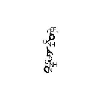 O=C(CN1CC2C(CNC(=O)c3cccc(OC(F)(F)F)c3)C2C1)Nc1ccccn1